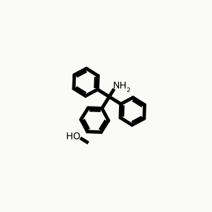 CO.NC(c1ccccc1)(c1ccccc1)c1ccccc1